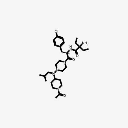 CCC(N)(CC)C(=O)N[C@H](Cc1ccc(Cl)cc1)C(=O)N1CCN(N(CC(C)C)C2CCN(C(C)=O)CC2)CC1